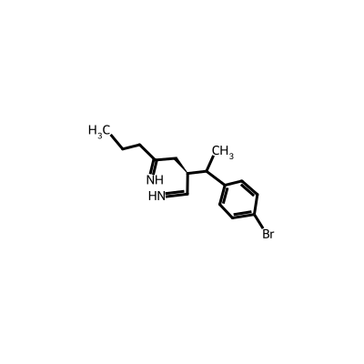 CCCC(=N)C[C@H](C=N)C(C)c1ccc(Br)cc1